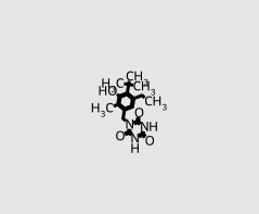 CCc1cc(Cn2c(=O)[nH]c(=O)[nH]c2=O)c(C)c(O)c1C(C)(C)C